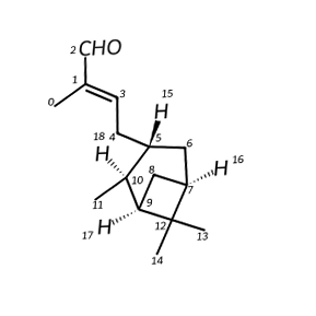 C/C(C=O)=C\C[C@@H]1C[C@@H]2C[C@H]([C@H]1C)C2(C)C